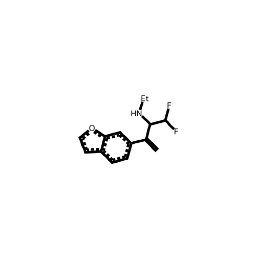 C=C(c1ccc2ccoc2c1)C(NCC)C(F)F